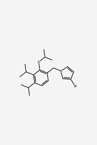 CC(C)Oc1c(Cn2ccc(Br)c2)ccc(C(C)C)c1C(C)C